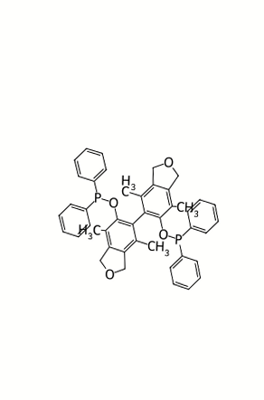 Cc1c2c(c(C)c(-c3c(C)c4c(c(C)c3OP(c3ccccc3)c3ccccc3)COC4)c1OP(c1ccccc1)c1ccccc1)COC2